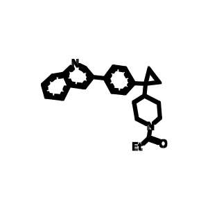 CCC(=O)N1CCC(C2(c3ccc(-c4cnc5ccccc5c4)cc3)CC2)CC1